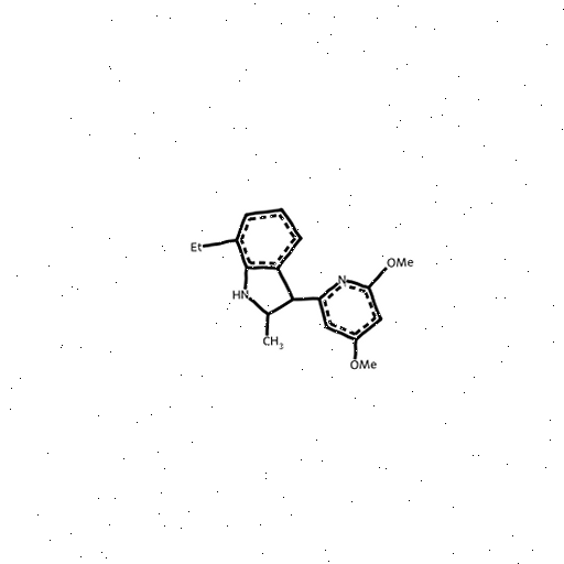 CCc1cccc2c1NC(C)C2c1cc(OC)cc(OC)n1